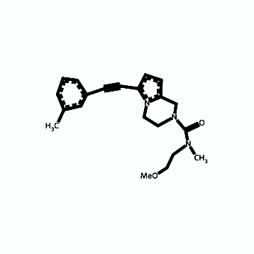 COCCN(C)C(=O)N1CCn2c(C#Cc3cccc(C)c3)ccc2C1